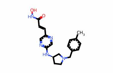 Cc1ccc(CN2CC[C@@H](Nc3cnc(/C=C/C(=O)NO)cn3)C2)cc1